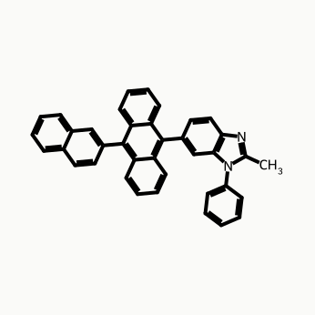 Cc1nc2ccc(-c3c4ccccc4c(-c4ccc5ccccc5c4)c4ccccc34)cc2n1-c1ccccc1